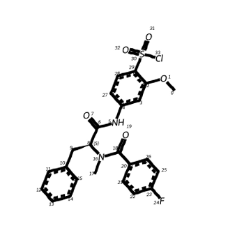 COc1cc(NC(=O)[C@H](Cc2ccccc2)N(C)C(=O)c2ccc(F)cc2)ccc1S(=O)(=O)Cl